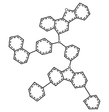 c1ccc(-c2ccc3c(c2)c2cc(-c4ccccc4)ccc2n3-c2cccc(N(c3ccc(-c4cccc5ccccc45)cc3)c3cc4c5ccccc5oc4c4ccccc34)c2)cc1